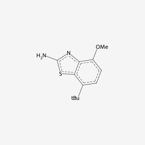 COc1ccc(C(C)(C)C)c2sc(N)nc12